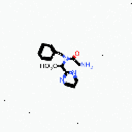 NCC(=O)N(Cc1ccccc1)C(C(=O)O)c1ncccn1